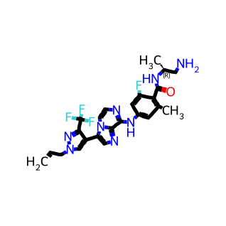 C=CCn1cc(-c2cnc3c(Nc4cc(C)c(C(=O)N[C@H](C)CN)c(F)c4)nccn23)c(C(F)(F)F)n1